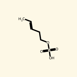 CC=CCCOS(=O)(=O)O